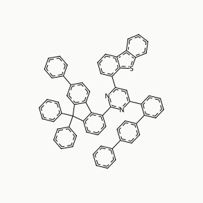 c1ccc(-c2ccc(-c3ccccc3-c3cc(-c4cccc5c4sc4ccccc45)nc(-c4cccc5c4-c4ccc(-c6ccccc6)cc4C5(c4ccccc4)c4ccccc4)n3)cc2)cc1